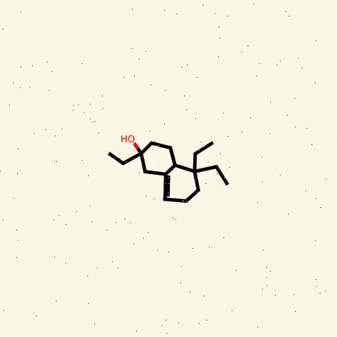 CCC1(O)CCC2C(=CCCC2(CC)CC)C1